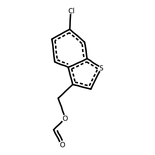 O=COCc1csc2cc(Cl)ccc12